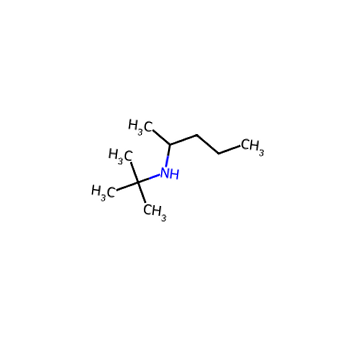 CCCC(C)NC(C)(C)C